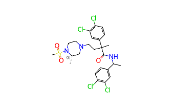 CC(NC(=O)C(C)(CCN1CCN(S(C)(=O)=O)[C@@H](C)C1)c1ccc(Cl)c(Cl)c1)c1ccc(Cl)c(Cl)c1